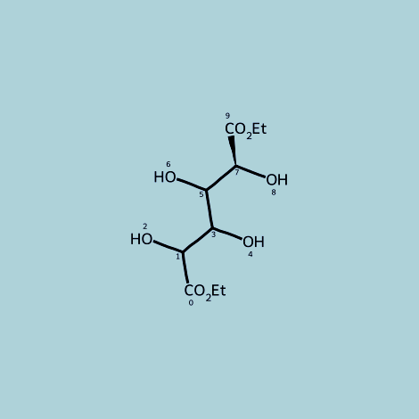 CCOC(=O)C(O)C(O)C(O)[C@H](O)C(=O)OCC